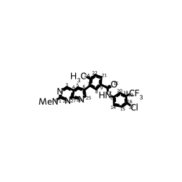 CNc1ncc2cc(-c3cc(C(=O)Nc4ccc(Cl)c(C(F)(F)F)c4)ccc3C)cnc2n1